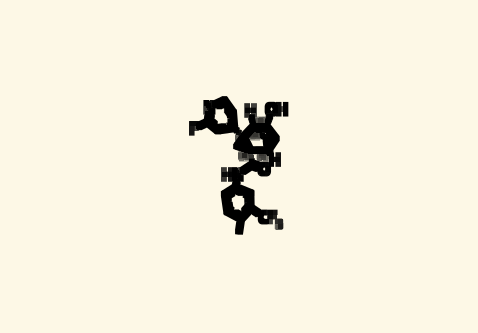 Cc1ccc(NC(=O)[C@]23C[C@@]2(c2ccnc(F)c2)[C@H]2O[C@@H]3C[C@@H]2O)cc1C(F)(F)F